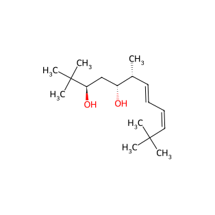 C[C@H](/C=C/C=C\C(C)(C)C)[C@H](O)C[C@@H](O)C(C)(C)C